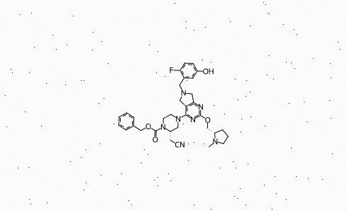 CN1CCC[C@H]1COc1nc2c(c(N3CCN(C(=O)OCc4ccccc4)[C@@H](CC#N)C3)n1)CN(Cc1cc(O)ccc1F)C2